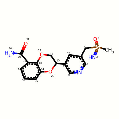 CS(=N)(=O)Cc1cncc(C2COc3c(cccc3C(N)=O)O2)c1